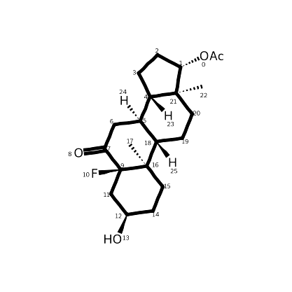 CC(=O)O[C@H]1CC[C@H]2[C@@H]3CC(=O)[C@@]4(F)C[C@H](O)CC[C@]4(C)[C@H]3CC[C@]12C